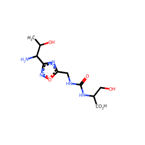 CC(O)C(N)c1noc(CNC(=O)NC(CO)C(=O)O)n1